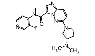 CN(C)[C@H]1CCN(c2ccc3ncc(C(=O)Nc4ccncc4F)n3n2)C1